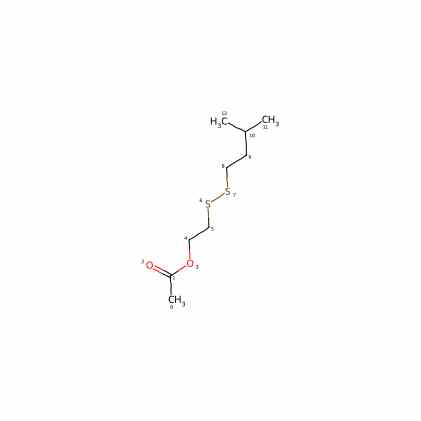 CC(=O)OCCSSCCC(C)C